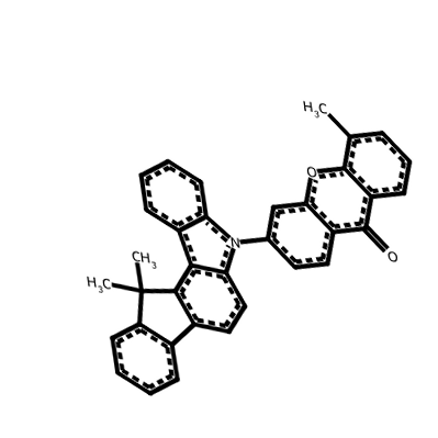 Cc1cccc2c(=O)c3ccc(-n4c5ccccc5c5c6c(ccc54)-c4ccccc4C6(C)C)cc3oc12